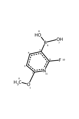 COc1ccc(B(O)O)c(F)n1